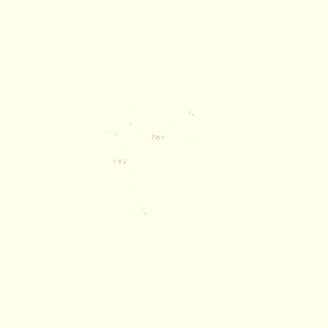 O=c1c(NCc2ccccn2)c(Nc2ccc3cc[nH]c3c2)c1=O